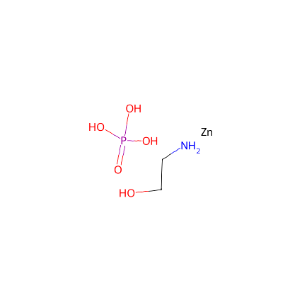 NCCO.O=P(O)(O)O.[Zn]